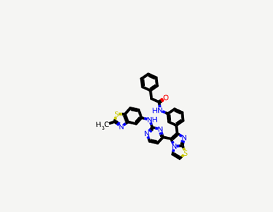 Cc1nc2cc(Nc3nccc(-c4c(-c5cccc(NC(=O)Cc6ccccc6)c5)nc5sccn45)n3)ccc2s1